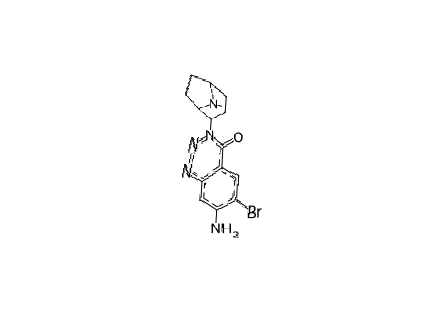 CN1C2CCC1C(n1nnc3cc(N)c(Br)cc3c1=O)CC2